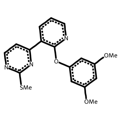 COc1cc(OC)cc(Oc2ncccc2-c2ccnc(SC)n2)c1